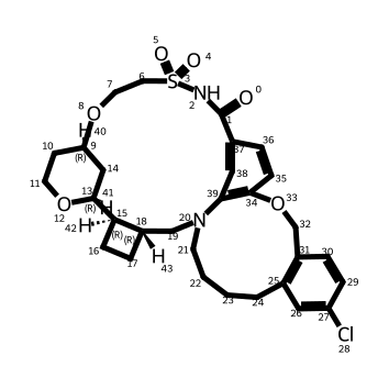 O=C1NS(=O)(=O)CCO[C@@H]2CCO[C@H](C2)[C@@H]2CC[C@H]2CN2CCCCc3cc(Cl)ccc3COc3ccc1cc32